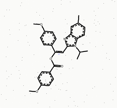 COc1ccc(C(=O)O/C(=C/c2nc3cc(C)ccc3n2C(C)C)c2ccc(OC)cc2)cc1